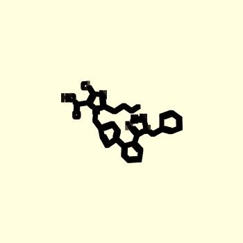 CCCCc1nc(Cl)c(C(=O)O)n1Cc1ccc(-c2ccccc2-c2nnnn2Cc2ccccc2)cc1